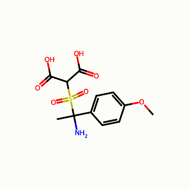 COc1ccc(C(C)(N)S(=O)(=O)C(C(=O)O)C(=O)O)cc1